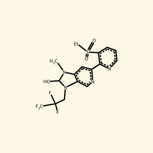 CCS(=O)(=O)c1cccnc1-c1cc2c(cn1)N(CC(F)(F)C(F)(F)F)C(O)N2C